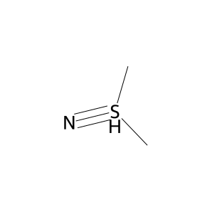 C[SH](C)#N